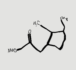 COC(=O)CC1CCC(O)C1C